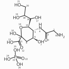 NCC(=O)N[C@@H]1[C@@H](O)CC(O)(C(=O)O)O[C@H]1C(O)C(O)CO.O=P(O)(O)O